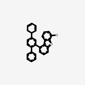 Clc1cccc2c1oc1cccc(-c3cc(C4C=CC=CC4)ccc3-c3ccccc3)c12